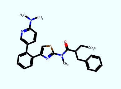 CN(C)c1ccc(-c2ccccc2-c2csc(N(C)C(=O)C(CC(=O)O)Cc3ccccc3)n2)cn1